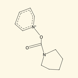 O=C(O[n+]1ccccc1)N1CCCCC1